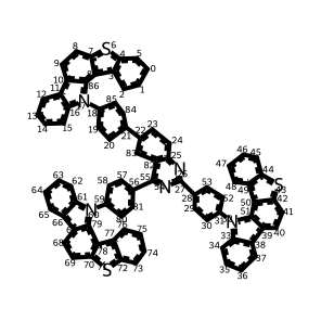 c1ccc2c(c1)sc1ccc3c4ccccc4n(-c4ccc(-c5ccc6nc(-c7ccc(-n8c9ccccc9c9ccc%10sc%11ccccc%11c%10c98)cc7)nc(-c7ccc(-n8c9ccccc9c9ccc%10sc%11ccccc%11c%10c98)cc7)c6c5)cc4)c3c12